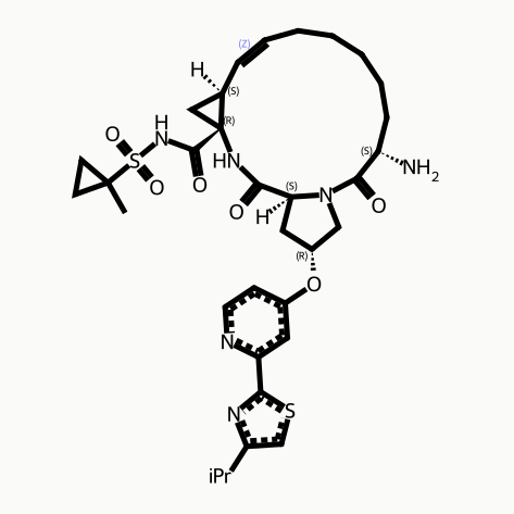 CC(C)c1csc(-c2cc(O[C@@H]3C[C@H]4C(=O)N[C@]5(C(=O)NS(=O)(=O)C6(C)CC6)C[C@H]5/C=C\CCCCC[C@H](N)C(=O)N4C3)ccn2)n1